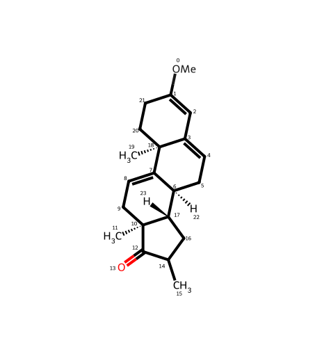 COC1=CC2=CC[C@@H]3C(=CC[C@]4(C)C(=O)C(C)C[C@@H]34)[C@@]2(C)CC1